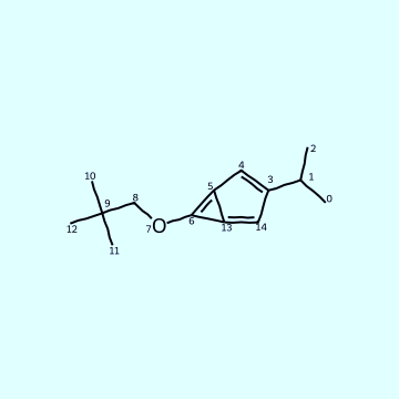 CC(C)c1cc2c(OCC(C)(C)C)c-2c1